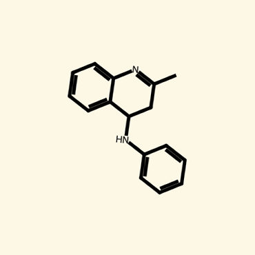 CC1=Nc2ccccc2C(Nc2ccccc2)C1